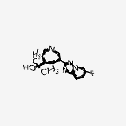 CC(C)(O)c1cncc(-c2nc3ccc(F)cn3n2)c1